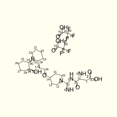 N=C(NC(=O)C(N)CC(=O)O)N1CCC(OCC[C@@H]2CCCCN2[C@@H]2CCCC[C@@H]2O)CC1.O=C(O)C(F)(F)F.O=C(O)C(F)(F)F